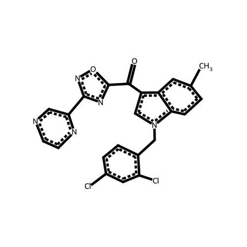 Cc1ccc2c(c1)c(C(=O)c1nc(-c3cnccn3)no1)cn2Cc1ccc(Cl)cc1Cl